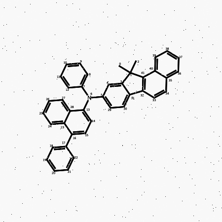 CC1(C)c2cc(N(c3ccccc3)c3ccc(-c4ccccc4)c4ccccc34)ccc2-c2ccc3ccccc3c21